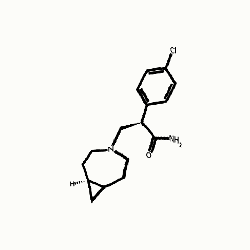 NC(=O)[C@@H](CN1CCC2C[C@H]2CC1)c1ccc(Cl)cc1